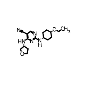 CCO[C@H]1CC[C@H](Nc2ncc(C#N)c(N[C@@H]3CCOC3)n2)CC1